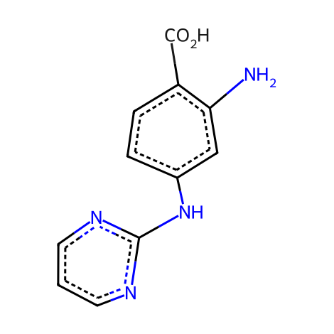 Nc1cc(Nc2ncccn2)ccc1C(=O)O